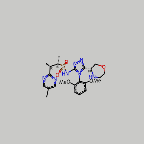 COc1cccc(OC)c1-n1c(NS(=O)(=O)[C@@H](C)[C@H](C)c2ncc(C)cn2)nnc1[C@@H]1COCCN1